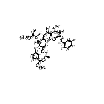 C=CCOC(=O)[C@H](Cc1cn(C(=O)OC(C)(C)C)cn1)NC(=O)[C@H](CCC(=O)OC(C)(C)C)NC(=O)[C@@H](NC(=O)OCc1ccccc1)C(C)C